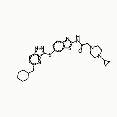 O=C(CN1CCN(C2CC2)CC1)Nc1nc2ccc(Sc3nnc4ccc(CC5CCCCC5)nn34)cc2s1